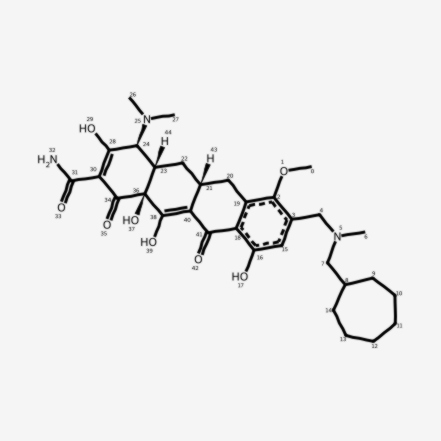 COc1c(CN(C)CC2CCCCCC2)cc(O)c2c1C[C@H]1C[C@H]3[C@H](N(C)C)C(O)=C(C(N)=O)C(=O)[C@@]3(O)C(O)=C1C2=O